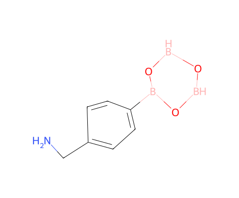 NCc1ccc(B2OBOBO2)cc1